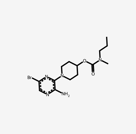 CCCN(C)C(=O)OC1CCN(c2nc(Br)cnc2N)CC1